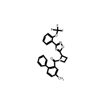 Cc1ccc(-c2ccccc2)c(C(=O)N2CCC2c2nc(-c3ccccc3OC(F)(F)F)no2)c1